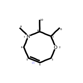 CC1OC/C=C\CN(C)C1C